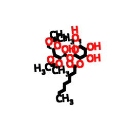 CCCCCCCC(=O)O[C@@H]1[C@H](OC(O)[C@@H]2OC(C)(C)O[C@@H]2[C@@H]2COC(C)(C)O2)O[C@H](CO)[C@@H](O)[C@@H]1O